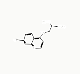 COC(CNc1ccnc2cc(Cl)ccc12)OC